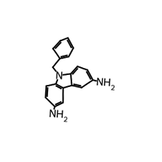 Nc1ccc2c(c1)c1cc(N)ccc1n2Cc1ccccc1